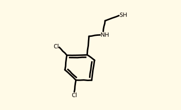 SCNCc1ccc(Cl)cc1Cl